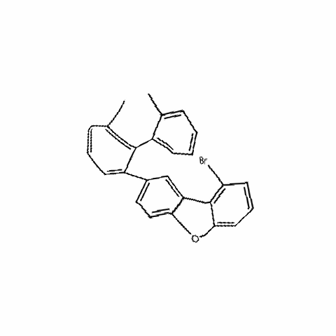 Cc1ccccc1-c1c(C)cccc1-c1ccc2oc3cccc(Br)c3c2c1